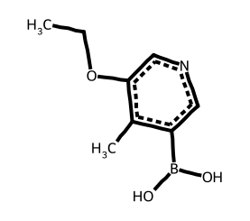 CCOc1cncc(B(O)O)c1C